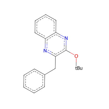 CC(C)(C)Oc1nc2ccccc2nc1Cc1ccccc1